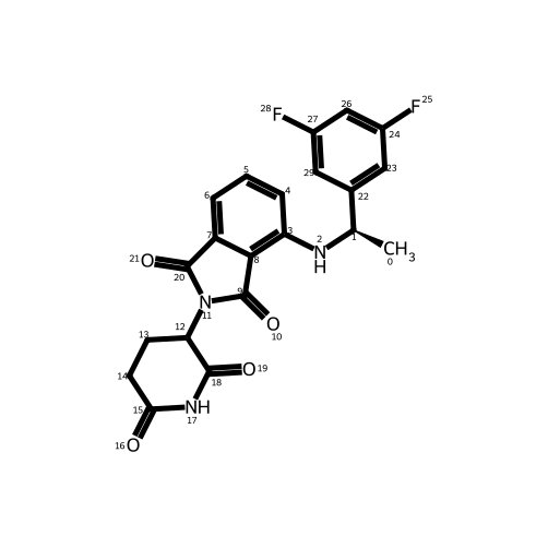 C[C@@H](Nc1cccc2c1C(=O)N(C1CCC(=O)NC1=O)C2=O)c1cc(F)cc(F)c1